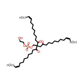 CCCCCCCC/C=C\CCCCCCCC(=O)CC(COS(=O)(=O)OCCO)(C(=O)CCCCCCC/C=C\CCCCCCCC)C(=O)CCCCCCC/C=C\CCCCCCCC